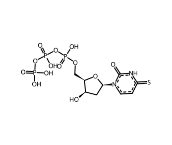 O=c1[nH]c(=S)ccn1[C@H]1C[C@@H](O)[C@@H](COP(=O)(O)OP(=O)(O)OP(=O)(O)O)O1